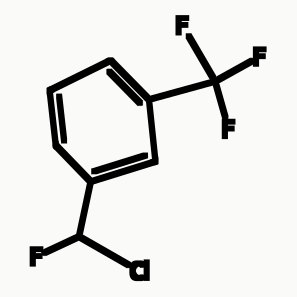 FC(Cl)c1cccc(C(F)(F)F)c1